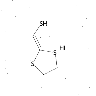 I.SC=C1SCCS1